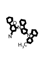 Cc1ccc2c3ccccc3n(-c3ccc4c(c3)c3ccccc3n4-c3cc(C#N)cc4c3oc3ccccc34)c2c1